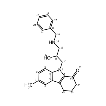 Cc1ccc2c(c1)c1c(n2CC(O)CNCc2ccccc2)C(=O)CCC1